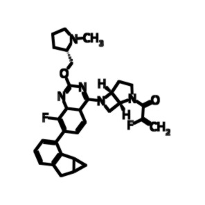 C=C(F)C(=O)N1CC[C@@H]2[C@H]1CN2C1=NC(OC[C@@H]2CCCN2C)=NC2C(F)=C(c3cccc4c3C3CC3C4)C=CC12